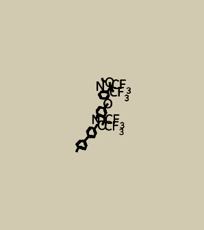 CC1=Nc2ccc(Oc3ccc4c(c3)C(C(F)(F)F)(C(F)(F)F)OC(c3ccc(-c5ccc(C)cc5)cc3)=N4)cc2C(C(F)(F)F)(C(F)(F)F)O1